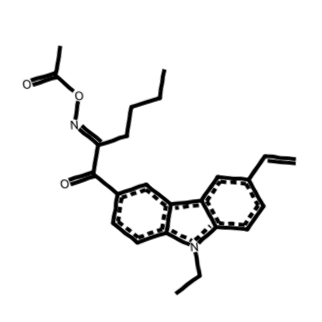 C=Cc1ccc2c(c1)c1cc(C(=O)/C(CCCC)=N/OC(C)=O)ccc1n2CC